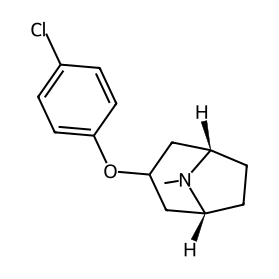 CN1[C@@H]2CC[C@H]1CC(Oc1ccc(Cl)cc1)C2